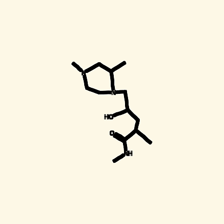 CNC(=O)C(C)CC(O)CN1CCN(C)CC1C